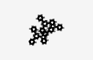 c1ccc(-c2cc(-n3c4ccccc4c4cc(-c5ccc6c(c5)c5c(-c7nc(-c8ccccc8)nc(-c8ccccc8)n7)cccc5n6-c5ccccc5)ccc43)nc(-c3ccccc3)n2)cc1